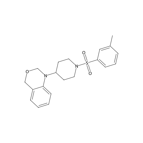 Cc1cccc(S(=O)(=O)N2CCC(N3COCc4ccccc43)CC2)c1